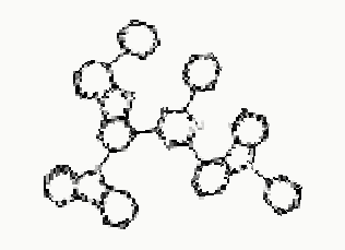 c1ccc(-c2nc(-c3cc(-n4c5ccccc5c5ccccc54)cc4c3sc3c(-c5ccccc5)cccc34)nc(-c3cccc4c3c3ccccc3n4-c3ccccc3)n2)cc1